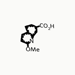 COc1ccc2ccc(C(=O)O)cc2n1